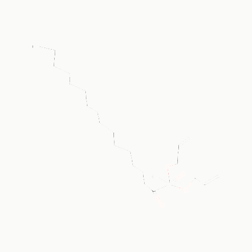 C=CC[O][Ti](=[O])([O]CC=C)([C](=O)CCCCCCCCCCCCCCC(C)C)[CH](C)C